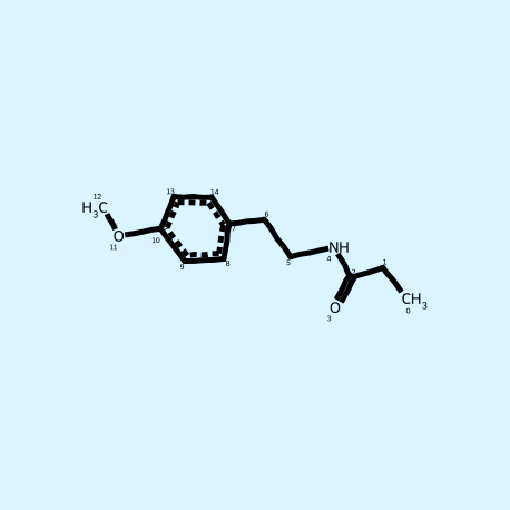 CCC(=O)NCCc1ccc(OC)cc1